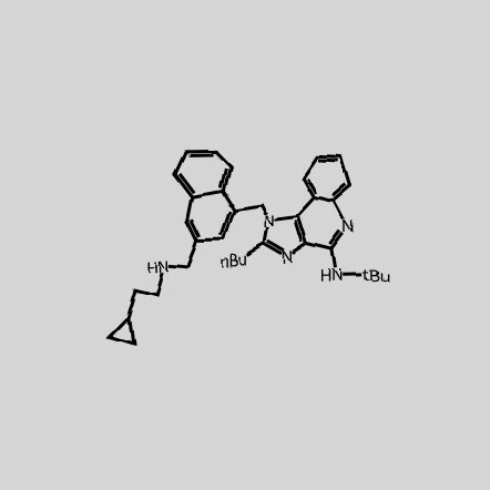 CCCCc1nc2c(NC(C)(C)C)nc3ccccc3c2n1Cc1cc(CNCCC2CC2)cc2ccccc12